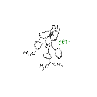 Cc1ccc2c(c1)[CH]([Zr+2]([C]1=CC(C(C)C)=CC1)=[C](c1ccccc1)c1ccccc1)c1cc(C)ccc1-2.[Cl-].[Cl-]